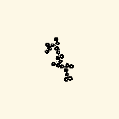 c1ccc(-c2cccc(N(c3ccc(-c4ccc(-n5c6ccccc6c6ccccc65)cc4)cc3)c3ccc(-c4ccc(-c5ccccc5)c5oc6c(-c7cccc8c7c7ccccc7n8-c7ccc(-c8ccc(N(c9cccc(-c%10ccccc%10)c9)c9cccc(-c%10ccc(-c%11ccccc%11)c%11oc%12ccccc%12c%10%11)c9)cc8)cc7)cccc6c45)cc3)c2)cc1